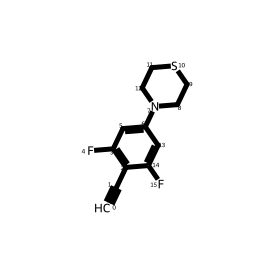 C#Cc1c(F)cc(N2CCSCC2)cc1F